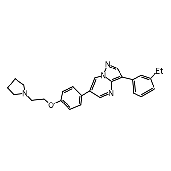 CCc1cccc(-c2cnn3cc(-c4ccc(OCCN5CCCC5)cc4)cnc23)c1